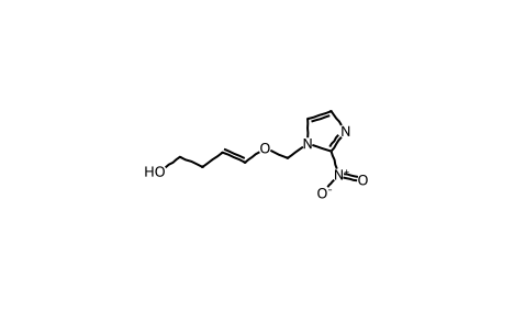 O=[N+]([O-])c1nccn1COC=CCCO